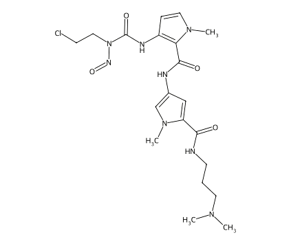 CN(C)CCCNC(=O)c1cc(NC(=O)c2c(NC(=O)N(CCCl)N=O)ccn2C)cn1C